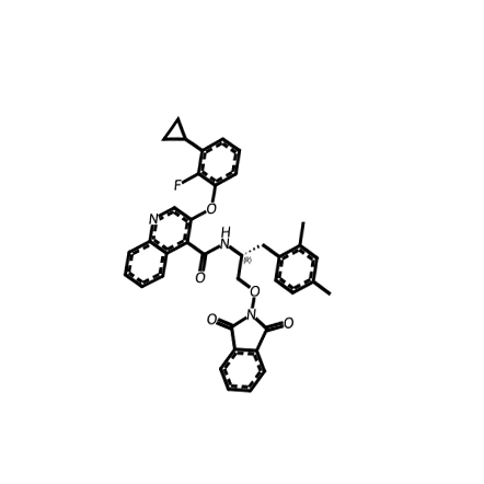 Cc1ccc(C[C@H](CON2C(=O)c3ccccc3C2=O)NC(=O)c2c(Oc3cccc(C4CC4)c3F)cnc3ccccc23)c(C)c1